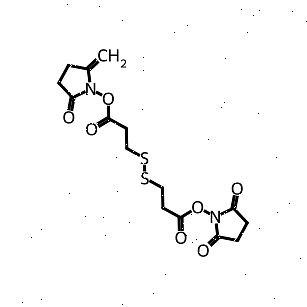 C=C1CCC(=O)N1OC(=O)CCSSCCC(=O)ON1C(=O)CCC1=O